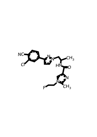 Cc1nc(C(=O)NC(C)Cn2ccc(-c3ccc(C#N)c(Cl)c3)n2)cn1CCF